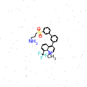 CN1C=CC(c2cccc(-c3cccc(S(=O)(=O)CCCN)c3)c2)=C2C=CC=C(C(F)(F)F)C21